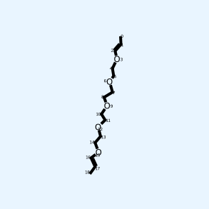 CC=COCCOCCOCCOCCOC=CC